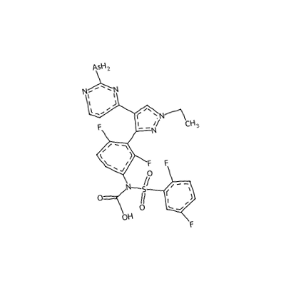 CCn1cc(-c2ccnc([AsH2])n2)c(-c2c(F)ccc(N(C(=O)O)S(=O)(=O)c3cc(F)ccc3F)c2F)n1